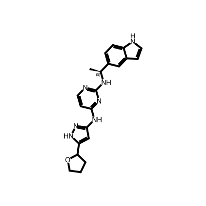 C[C@H](Nc1nccc(Nc2cc(C3CCCO3)[nH]n2)n1)c1ccc2[nH]ccc2c1